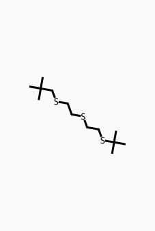 CC(C)(C)CSCCSCCSC(C)(C)C